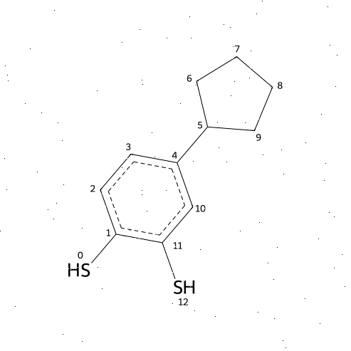 Sc1ccc(C2CCCC2)cc1S